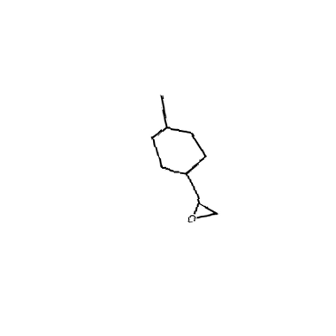 CC1CCC(C2CO2)CC1